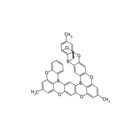 Cc1cc2c3c(c1)Oc1cc4c(cc1B3c1ccccc1O2)B1c2cc3c(cc2Oc2cc(C)cc(c21)O4)Oc1cc(C)cc2c1B3c1ccccc1O2